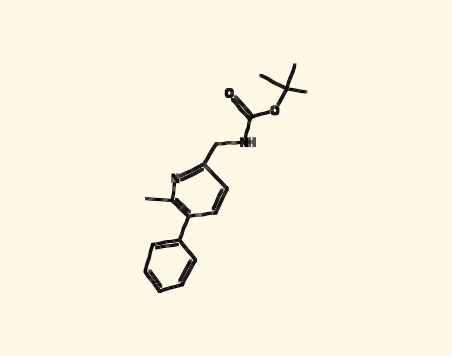 Cc1nc(CNC(=O)OC(C)(C)C)ccc1-c1ccccc1